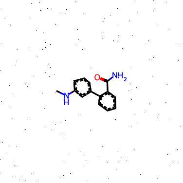 CNc1cccc(-c2ccccc2C(N)=O)c1